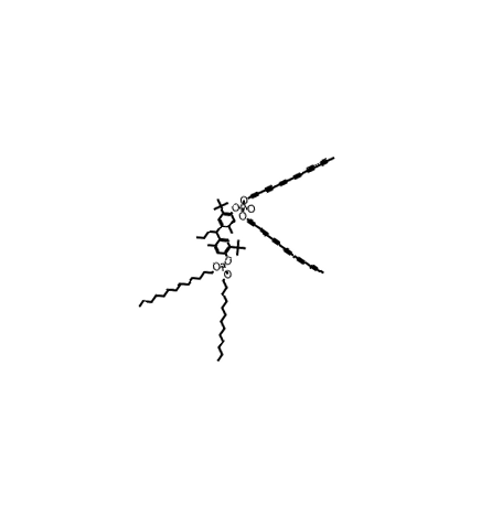 CC#CC#CC#CC#CC#CC#COP(=O)(OC#CC#CC#CC#CC#CC#CC)Oc1cc(C)c(C(CCC)c2cc(C(C)(C)C)c(OP(OCCCCCCCCCCCCC)OCCCCCCCCCCCCC)cc2C)cc1C(C)(C)C